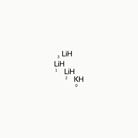 [KH].[LiH].[LiH].[LiH]